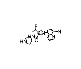 N#Cc1ccc(N2CC(C(=O)NC3CCCNCC3)[C@H](C(F)F)C2)c2cccnc12